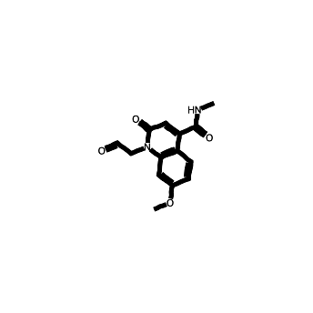 CNC(=O)c1cc(=O)n(CC=O)c2cc(OC)ccc12